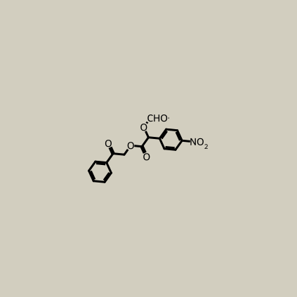 O=[C]OC(C(=O)OCC(=O)c1ccccc1)c1ccc([N+](=O)[O-])cc1